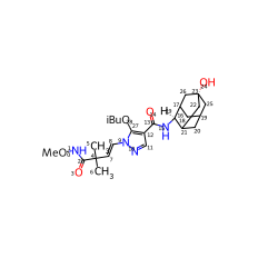 CONC(=O)C(C)(C)/C=C/n1ncc(C(=O)N[C@H]2C3CC4CC2C[C@](O)(C4)C3)c1OCC(C)C